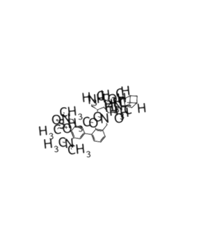 COc1c(CN2O[C@@H](CN)[C@H]([C@H](C)O)[C@H]2C(=O)N[C@H]2C[C@H]3C[C@@H]([C@@H]2C)C3(C)C)cccc1-c1cc(CN(C)S(C)(=O)=O)cc(N(C)C)c1